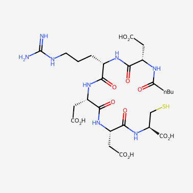 CCCCC(=O)N[C@@H](CC(=O)O)C(=O)N[C@@H](CCCNC(=N)N)C(=O)N[C@@H](CC(=O)O)C(=O)N[C@@H](CC(=O)O)C(=O)N[C@@H](CS)C(=O)O